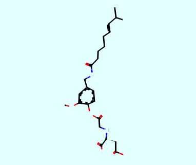 COc1cc(CNC(=O)CCCC/C=C/C(C)C)ccc1OC(=O)CN[C@@H](CC(=O)O)C(=O)O